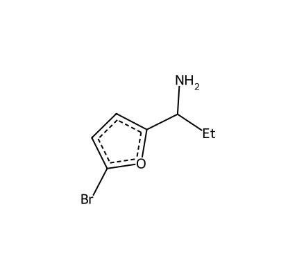 CCC(N)c1ccc(Br)o1